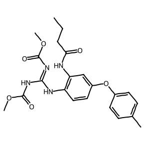 CCCC(=O)Nc1cc(Oc2ccc(C)cc2)ccc1NC(=NC(=O)OC)NC(=O)OC